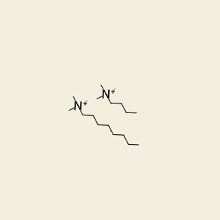 CCCCCCCC[N+](C)(C)C.CCCC[N+](C)(C)C